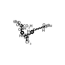 CC(C)(C)OC(=O)NCCCCCCOc1ccc(CNc2nc(Nc3ccc(C(=O)N[C@@H]4CN(C(=O)OC(C)(C)C)C[C@H]4C(=O)O)cc3)nc(OCC(F)(F)F)n2)cc1